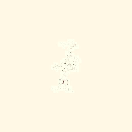 COc1ccc(CN(Cc2ccc(OC)cc2)c2cc(C)c(-n3c(=O)nc(N4CCN(C(=O)OC(C)(C)C)C[C@@H]4C)c4cc(Cl)c(Cl)nc43)c(C(C)C)n2)cc1